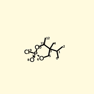 CC(C)C1(C)COP(=O)(Cl)OC1C